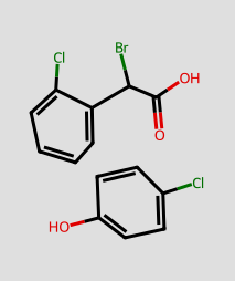 O=C(O)C(Br)c1ccccc1Cl.Oc1ccc(Cl)cc1